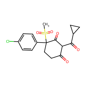 CS(=O)(=O)C1(c2ccc(Cl)cc2)CCC(=O)C(C(=O)C2CC2)C1=O